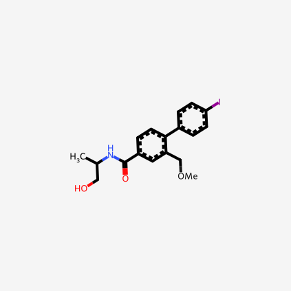 COCc1cc(C(=O)NC(C)CO)ccc1-c1ccc(I)cc1